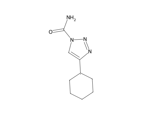 NC(=O)n1cc([C]2CCCCC2)nn1